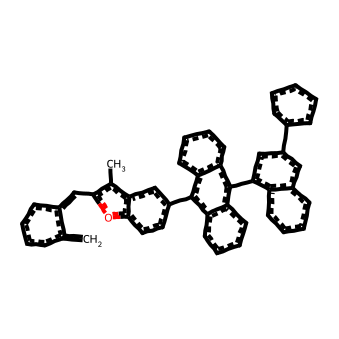 C=c1cccc/c1=C/c1oc2ccc(-c3c4ccccc4c(-c4cc(-c5ccccc5)cc5ccccc45)c4ccccc34)cc2c1C